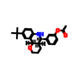 CC(=O)Oc1cccc([C@@H]2Nc3ccc(C(C)(C)C)cc3[C@H]3OCCC[C@H]32)c1